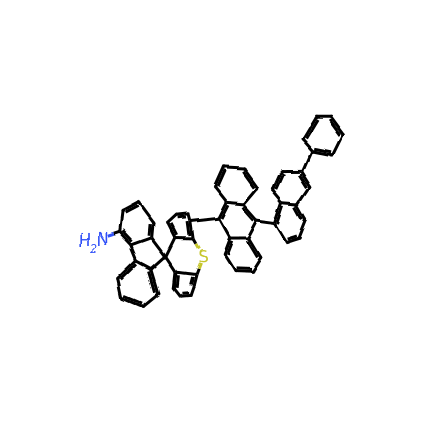 Nc1cccc2c1-c1ccccc1C21c2ccccc2Sc2c(-c3c4ccccc4c(-c4cccc5cc(-c6ccccc6)ccc45)c4ccccc34)cccc21